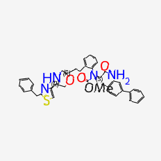 COC(=O)N(c1ccccc1CC[C@@H]1CN[C@H](c2csc(Cc3ccccc3)n2)CO1)[C@@H](Cc1ccc(-c2ccccc2)cc1)C(N)=O